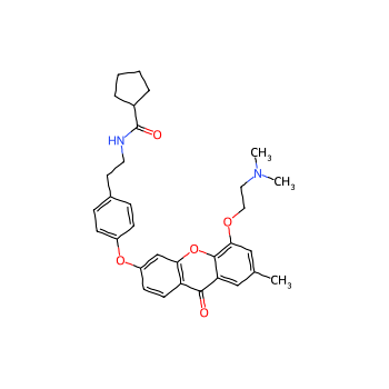 Cc1cc(OCCN(C)C)c2oc3cc(Oc4ccc(CCNC(=O)C5CCCC5)cc4)ccc3c(=O)c2c1